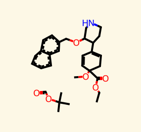 CC(C)(C)OC=O.CCOC(=O)C1(OC)C=CC(C2CCNCC2OCc2ccc3ccccc3c2)=CC1